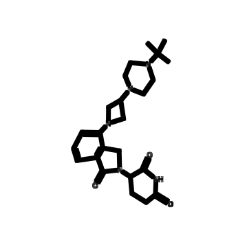 CC(C)(C)N1CCN(C2CN(c3cccc4c3CN(C3CCC(=O)NC3=O)C4=O)C2)CC1